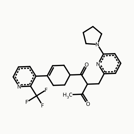 CC(=O)C(Cc1cccc(N2CCCC2)n1)C(=O)C1CC=C(c2cccnc2C(F)(F)F)CC1